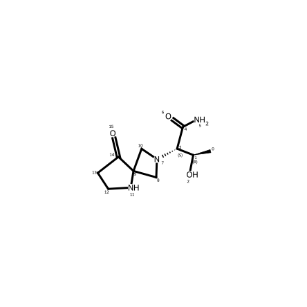 C[C@@H](O)[C@@H](C(N)=O)N1CC2(C1)NCCC2=O